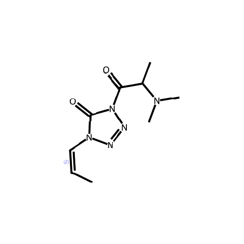 C/C=C\n1nnn(C(=O)C(C)N(C)C)c1=O